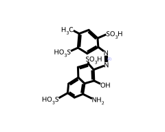 Cc1cc(S(=O)(=O)O)c(/N=N\c2c(S(=O)(=O)O)cc3cc(S(=O)(=O)O)cc(N)c3c2O)cc1S(=O)(=O)O